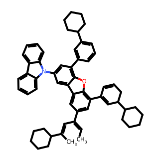 C/C=C(\C=C(/C)C1CCCCC1)c1cc(C2=CC(C3CCCCC3)CC=C2)c2oc3c(-c4cccc(C5CCCCC5)c4)cc(-n4c5ccccc5c5ccccc54)cc3c2c1